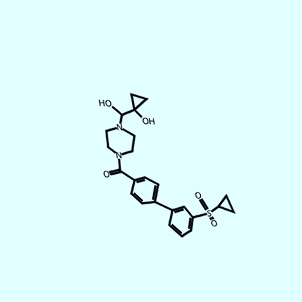 O=C(c1ccc(-c2cccc(S(=O)(=O)C3CC3)c2)cc1)N1CCN(C(O)C2(O)CC2)CC1